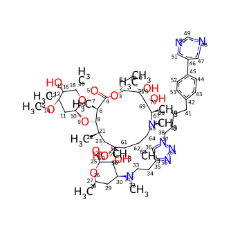 CC[C@H]1OC(=O)[C@H](C)[C@@H](O[C@H]2C[C@@](C)(OC)[C@@H](O)[C@H](C)O2)[C@H](C)[C@@H](O[C@@H]2O[C@H](C)C[C@H](N(C)CCc3cn(CCCCc4ccc(-c5cncnc5)cc4)nn3)[C@H]2O)[C@](C)(O)C[C@@H](C)CN(C)[C@H](C)[C@@H](O)[C@]1(C)O